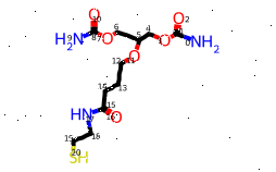 NC(=O)OCC(COC(N)=O)OCCCC(=O)NCCS